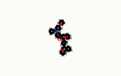 c1ccc(-c2ccc(N(c3ccccc3)c3ccc4oc5c(-c6ccc(-c7cc8ccccc8c8ccccc78)cc6)c6ccccc6cc5c4c3)cc2)cc1